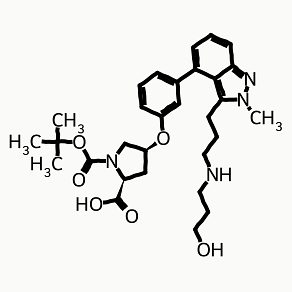 Cn1nc2cccc(-c3cccc(O[C@H]4C[C@@H](C(=O)O)N(C(=O)OC(C)(C)C)C4)c3)c2c1CCCNCCCO